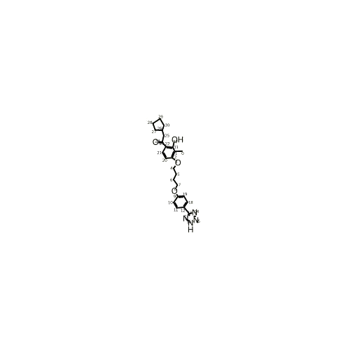 Cc1c(OCCCCOc2ccc(-c3nn[nH]n3)cc2)ccc(C(=O)CC2CCCC2)c1O